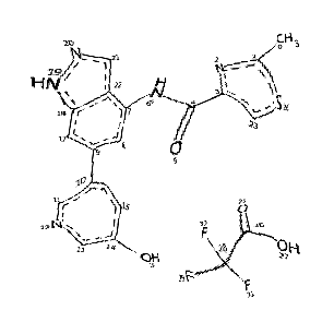 Cc1nc(C(=O)Nc2cc(-c3cncc(O)c3)cc3[nH]ncc23)cs1.O=C(O)C(F)(F)F